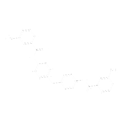 Nc1cccc(C(=O)Oc2ccc(Cc3ccc(OC(=O)c4cccc(N)c4)cc3)cc2)c1